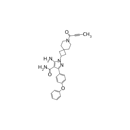 CC#CC(=O)N1CCC2(CC1)CC(n1nc(-c3ccc(Oc4ccccc4)cc3)c(C(N)=O)c1N)C2